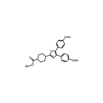 COc1ccc(-c2nc(C3CCN(C(=O)OC(C)(C)C)CC3)sc2-c2ccc(OC)cc2)cc1